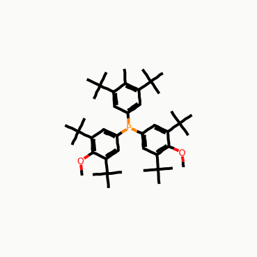 COc1c(C(C)(C)C)cc(P(c2cc(C(C)(C)C)c(C)c(C(C)(C)C)c2)c2cc(C(C)(C)C)c(OC)c(C(C)(C)C)c2)cc1C(C)(C)C